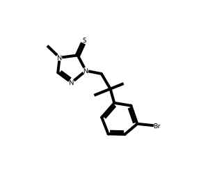 Cn1cnn(CC(C)(C)c2cccc(Br)c2)c1=S